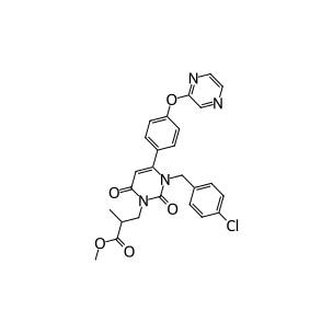 COC(=O)C(C)Cn1c(=O)cc(-c2ccc(Oc3cnccn3)cc2)n(Cc2ccc(Cl)cc2)c1=O